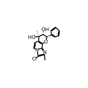 Cc1nc2c3c(ccn2c1Cl)[C@@](C)(O)[C@H](O)[C@@H](c1ccccc1)O3